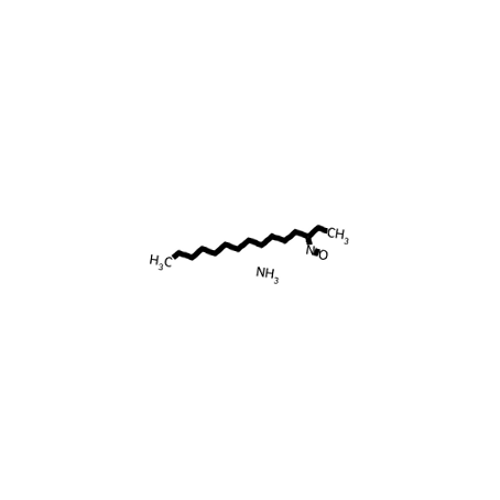 CCCCCCCCCCCCC(CC)N=O.N